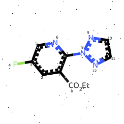 CCOC(=O)c1cc(F)cnc1-n1nccn1